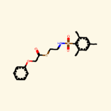 Cc1cc(C)c(S(=O)(=O)NCCSC(=O)COc2ccccc2)c(C)c1